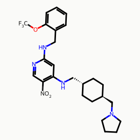 O=[N+]([O-])c1cnc(NCc2ccccc2OC(F)(F)F)cc1NC[C@H]1CC[C@H](CN2CCCC2)CC1